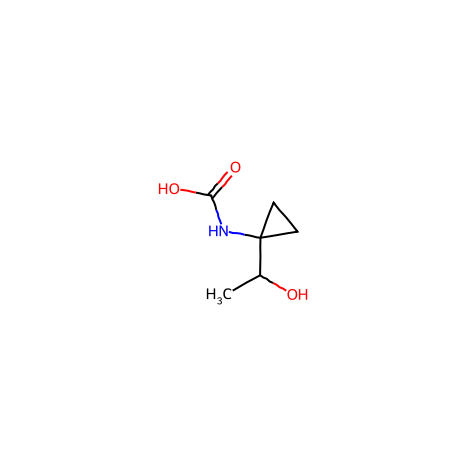 CC(O)C1(NC(=O)O)CC1